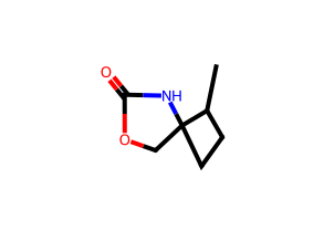 CC1CCC12COC(=O)N2